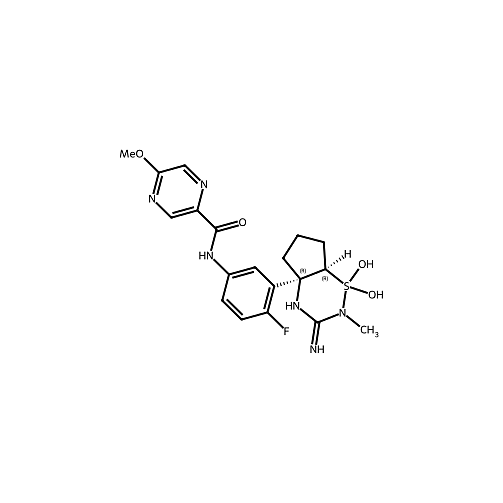 COc1cnc(C(=O)Nc2ccc(F)c([C@]34CCC[C@H]3S(O)(O)N(C)C(=N)N4)c2)cn1